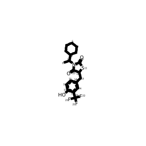 CC(C1CCCCC1)N1C(=O)SC(Cc2ccc(O)c(C(F)(F)F)c2)C1=O